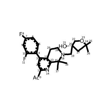 CC(=O)c1cc(-c2ccc(F)cc2F)c2c(n1)C(C)(C)N(C[C@@]1(O)COC(C)(C)C1)CC2